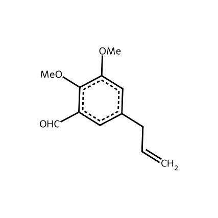 C=CCc1cc(C=O)c(OC)c(OC)c1